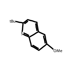 COc1ccc2[s+]c(C(C)(C)C)ccc2c1